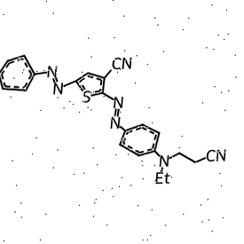 CCN(CCC#N)c1ccc(/N=N/c2sc(/N=N/c3ccccc3)cc2C#N)cc1